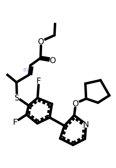 CCOC(=O)/C=C/C(C)Sc1c(F)cc(-c2cccnc2OC2CCCC2)cc1F